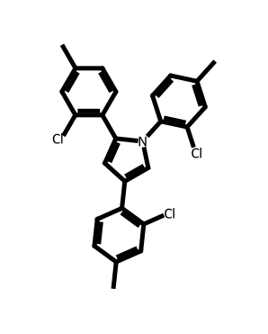 Cc1ccc(-c2cc(-c3ccc(C)cc3Cl)n(-c3ccc(C)cc3Cl)c2)c(Cl)c1